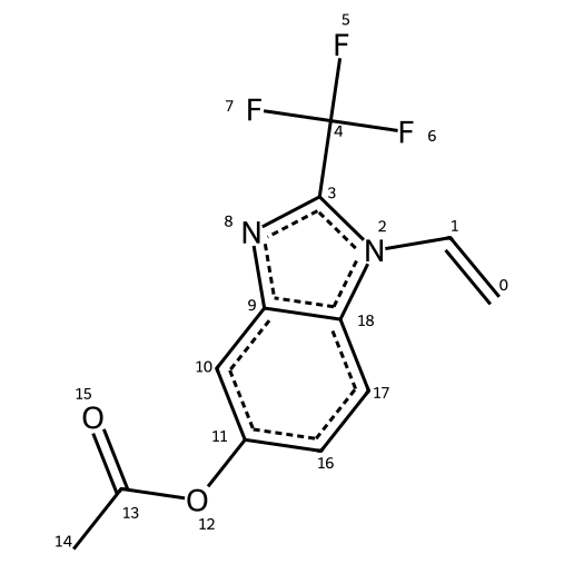 C=Cn1c(C(F)(F)F)nc2cc(OC(C)=O)ccc21